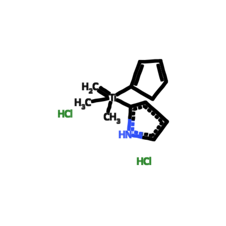 Cl.Cl.[CH2]=[Ti]([CH3])([CH3])([C]1=CC=CC1)[c]1ccc[nH]1